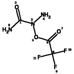 NC(=O)N(N)OC(=O)C(F)(F)F